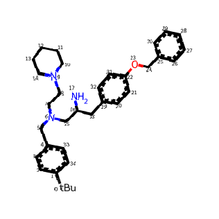 CC(C)(C)c1ccc(CN(CCN2CCCCC2)CC(N)Cc2ccc(OCc3ccccc3)cc2)cc1